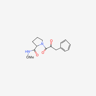 CONC(=O)C1CCCN1C(=O)C(=O)Cc1ccccc1